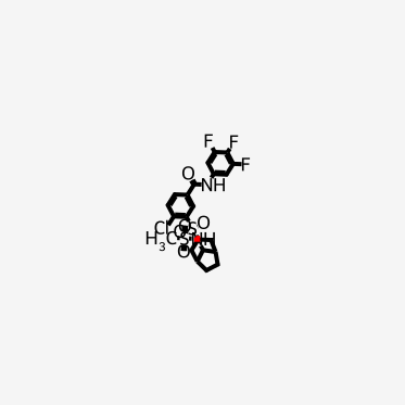 CS(=O)(=O)NC1C2CCC1CC(S(=O)(=O)c1cc(C(=O)Nc3cc(F)c(F)c(F)c3)ccc1Cl)C2